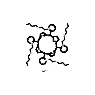 CCCCOCC[n+]1ccccc1-c1c2nc(c(-c3cccc[n+]3CCOCCCC)c3ccc([nH]3)c(-c3cccc[n+]3CCOCCCC)c3nc(c(-c4cccc[n+]4CCOCCCC)c4ccc1[nH]4)C=C3)C=C2.[Mn+3]